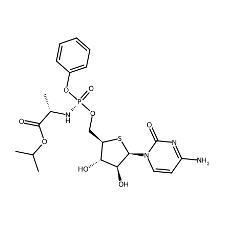 CC(C)OC(=O)[C@H](C)N[P@](=O)(OC[C@H]1S[C@@H](n2ccc(N)nc2=O)[C@@H](O)[C@@H]1O)Oc1ccccc1